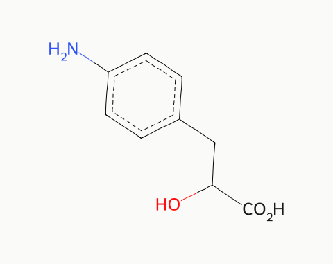 Nc1ccc(CC(O)C(=O)O)cc1